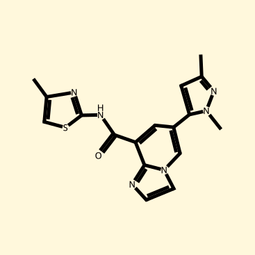 Cc1csc(NC(=O)c2cc(-c3cc(C)nn3C)cn3ccnc23)n1